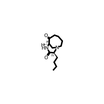 CCCC[C@H]1C(=O)N[C@@H]2CN1CCCCC2=O